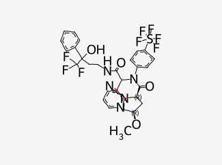 CO[C@@H]1C[C@H](C(=O)N(c2ccc(S(F)(F)(F)(F)F)cc2)C(C(=O)NCCC(O)(c2ccccc2)C(F)(F)F)c2cccnc2)N(C#N)C1